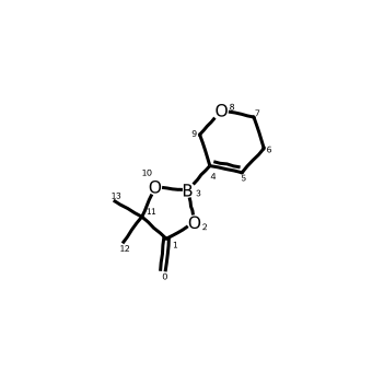 C=C1OB(C2=CCCOC2)OC1(C)C